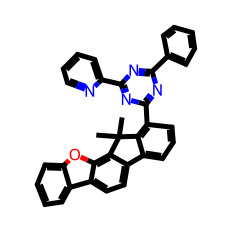 CC1(C)c2c(-c3nc(-c4ccccc4)nc(-c4ccccn4)n3)cccc2-c2ccc3c(oc4ccccc43)c21